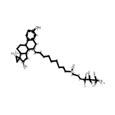 C[C@]12CCC3c4ccc(O)cc4C[C@@H](CCCCCCCCC[S+]([O-])CCCC(F)(F)C(F)(F)C(F)(F)C(F)(F)F)C3C1C[C@@H](O)C21CC1